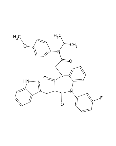 COc1ccc(N(C(=O)CN2C(=O)C(Cc3n[nH]c4ccccc34)C(=O)N(c3cccc(F)c3)c3ccccc32)C(C)C)cc1